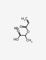 C=CC(=O)OC(C)C(=O)O.[Nb]